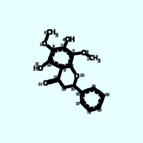 COc1c(O)c(OC)c2c(c1O)C(=O)CC(c1ccccc1)O2